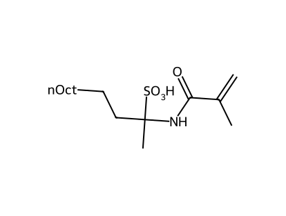 C=C(C)C(=O)NC(C)(CCCCCCCCCC)S(=O)(=O)O